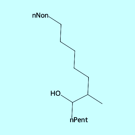 CCCCCCCCCCCCCCC(C)C(O)CCCCC